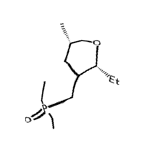 CC[C@H]1O[C@@H](C)CC1CP(C)(C)=O